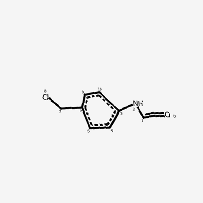 O=CNc1ccc(CCl)cc1